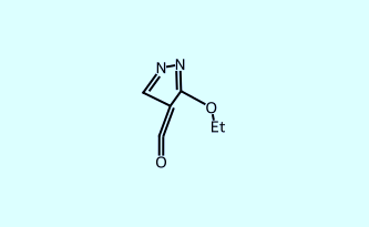 CCOC1=NN=CC1=C=O